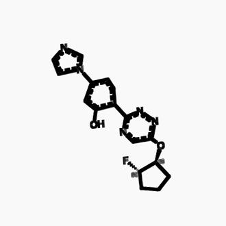 Oc1cc(-n2ccnc2)ccc1-c1ncc(O[C@H]2CCC[C@@H]2F)nn1